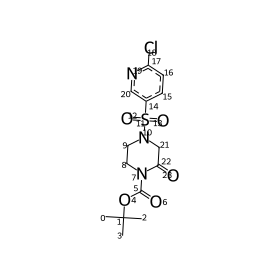 CC(C)(C)OC(=O)N1CCN(S(=O)(=O)c2ccc(Cl)nc2)CC1=O